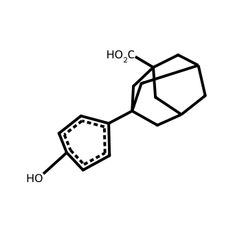 O=C(O)C12CC3CC(C1)CC(c1ccc(O)cc1)(C3)C2